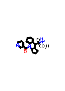 CCC(N)(C(=O)O)C1c2ccccc2N(C(=O)c2cccnc2)C2CCCC21